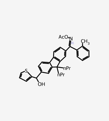 CCCC1(CCC)c2cc(/C(=N\OC(C)=O)c3ccccc3C)ccc2-c2ccc(C(O)c3cccs3)cc21